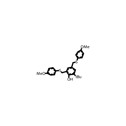 COc1ccc(SCc2cc(CSc3ccc(OC)cc3)c(O)c(C(C)(C)C)c2)cc1